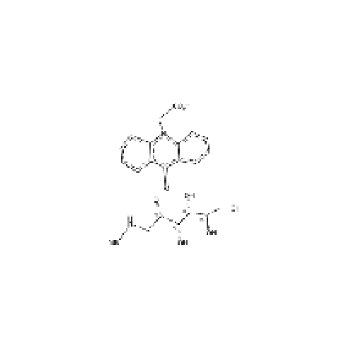 CCCCNC[C@H](O)[C@@H](O)[C@H](O)[C@H](O)CO.O=C(O)Cn1c2ccccc2c(=O)c2ccccc21